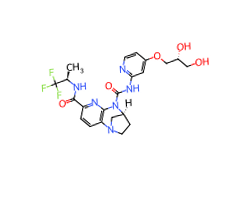 C[C@@H](NC(=O)c1ccc2c(n1)N(C(=O)Nc1cc(OC[C@H](O)CO)ccn1)[C@H]1CCN2C1)C(F)(F)F